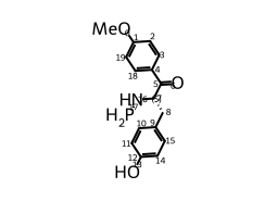 COc1ccc(C(=O)[C@H](Cc2ccc(O)cc2)NP)cc1